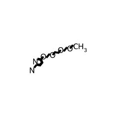 CCOCCOCCOCCOc1ccc(C#N)nc1